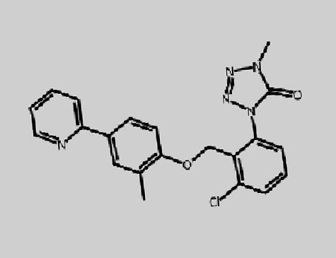 Cc1cc(-c2ccccn2)ccc1OCc1c(Cl)cccc1-n1nnn(C)c1=O